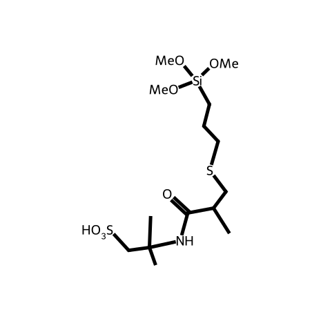 CO[Si](CCCSCC(C)C(=O)NC(C)(C)CS(=O)(=O)O)(OC)OC